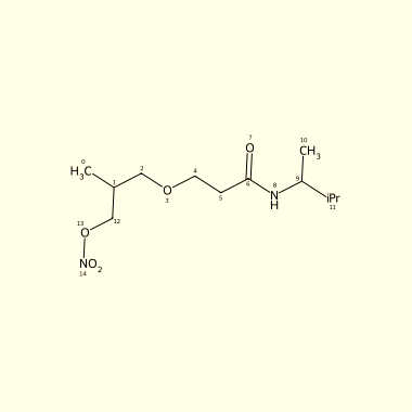 CC(COCCC(=O)NC(C)C(C)C)CO[N+](=O)[O-]